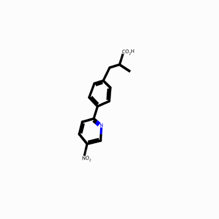 CC(Cc1ccc(-c2ccc([N+](=O)[O-])cn2)cc1)C(=O)O